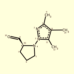 Cc1nn(N2CCC[C@H]2C=O)c(C)c1C